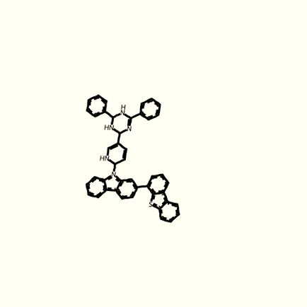 C1=CC(n2c3ccccc3c3ccc(-c4cccc5c4sc4ccccc45)cc32)NC=C1C1N=C(c2ccccc2)NC(c2ccccc2)N1